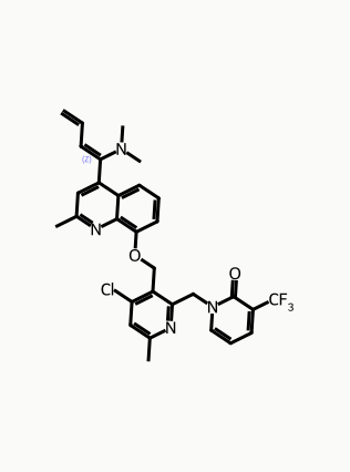 C=C/C=C(/c1cc(C)nc2c(OCc3c(Cl)cc(C)nc3Cn3cccc(C(F)(F)F)c3=O)cccc12)N(C)C